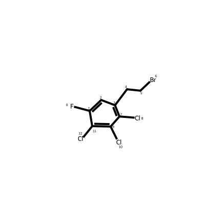 Fc1cc(CCBr)c(Cl)c(Cl)c1Cl